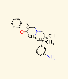 CC(=O)[C@@H](Cc1ccccc1)CN1CC[C@@](C)(c2cccc(N)c2)[C@@H](C)C1